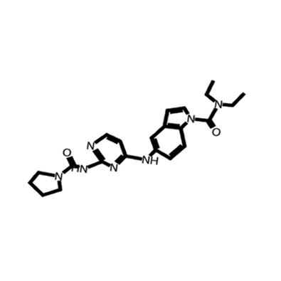 CCN(CC)C(=O)n1ccc2cc(Nc3ccnc(NC(=O)N4CCCC4)n3)ccc21